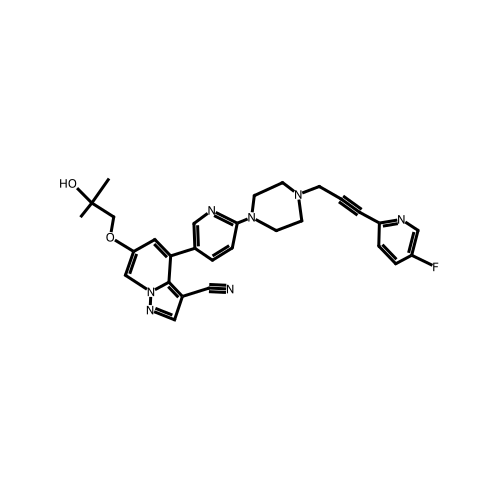 CC(C)(O)COc1cc(-c2ccc(N3CCN(CC#Cc4ccc(F)cn4)CC3)nc2)c2c(C#N)cnn2c1